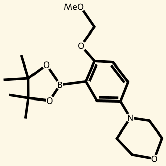 COCOc1ccc(N2CCOCC2)cc1B1OC(C)(C)C(C)(C)O1